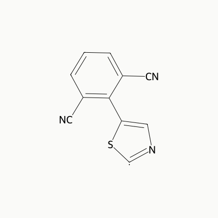 N#Cc1cccc(C#N)c1-c1cn[c]s1